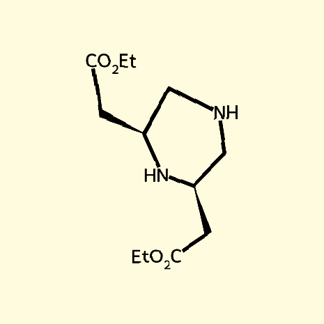 CCOC(=O)C[C@H]1CNC[C@@H](CC(=O)OCC)N1